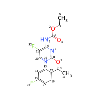 CCOC(=O)Nc1nc(OC(C)c2ccc(F)cc2)ncc1F